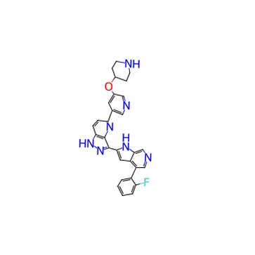 Fc1ccccc1-c1cncc2[nH]c(-c3n[nH]c4ccc(-c5cncc(OC6CCNCC6)c5)nc34)cc12